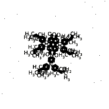 C=C(C)CC(C)(C)c1ccc(N(c2ccc(N3C(=O)c4cc(Oc5ccc(C(C)(C)CC(C)(C)C)cc5)c5c6c(Oc7ccc(C(C)(C)CC(C)(C)C)cc7)cc7c8c(cc(Oc9ccc(C(C)(C)CC(C)(C)C)cc9)c(c9c(Oc%10ccc(C(C)(C)CC(C)(C)C)cc%10)cc(c4c59)C3=O)c86)C(=O)OC7=O)cc2)c2ccc(C(C)(C)CC(C)(C)C)cc2)cc1